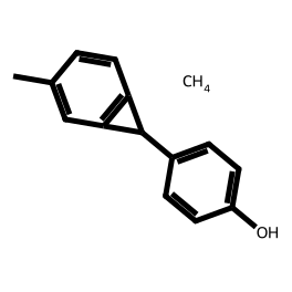 C.Cc1ccc2c(c1)C2c1ccc(O)cc1